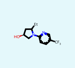 CCC1C[C@H](O)CN1c1ccc(C(F)(F)F)cn1